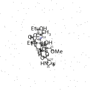 CC[C@@H](O)[C@H]1OC(=O)[C@H](CC)[C@H]2C=C[C@H]3[C@H]4O[C@]2(/C(C)=C/[C@H]1C)[C@@H]3[C@H](O)[C@@H](COC)[C@H]4OC(=O)c1cc(F)c[nH]1